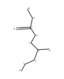 CCCC(C)CCC(=O)CC